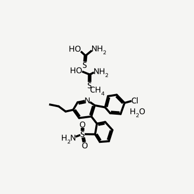 C.CCCc1cnc(-c2ccc(Cl)cc2)c(-c2ccccc2S(N)(=O)=O)c1.NC(O)=S.NC(O)=S.O